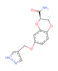 NC(=O)[C@H]1COc2ccc(OCc3cn[nH]c3)cc2O1